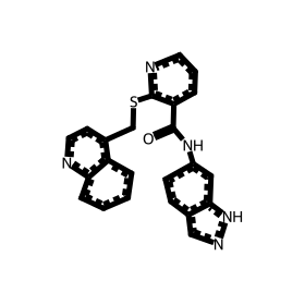 O=C(Nc1ccc2cn[nH]c2c1)c1cccnc1SCc1ccnc2ccccc12